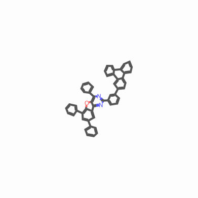 c1ccc(-c2cc(-c3ccccc3)c3oc4c(-c5ccccc5)nc(-c5cccc(-c6ccc7c8ccccc8c8ccccc8c7c6)c5)nc4c3c2)cc1